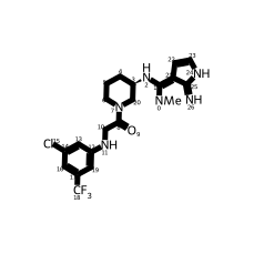 CN/C(N[C@H]1CCCN(C(=O)CNc2cc(Cl)cc(C(F)(F)F)c2)C1)=C1/C=CNC1=N